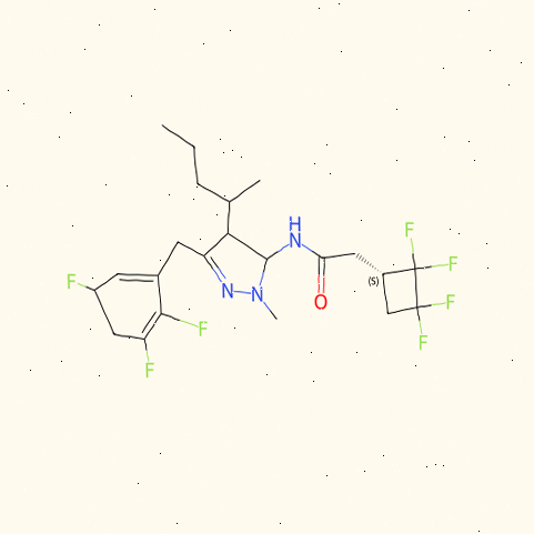 CCCC(C)C1C(CC2=CC(F)CC(F)=C2F)=NN(C)C1NC(=O)C[C@H]1CC(F)(F)C1(F)F